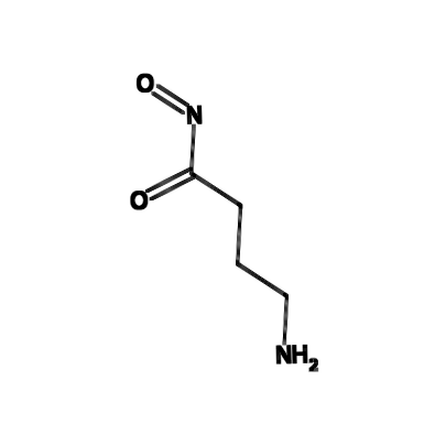 NCCCC(=O)N=O